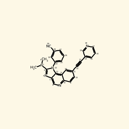 CN(C)c1nc2cnc3ccc(C#Cc4cccnc4)cc3c2n1-c1cccc(C#N)c1